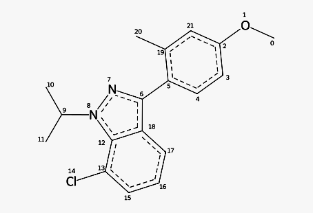 COc1ccc(-c2nn(C(C)C)c3c(Cl)cccc23)c(C)c1